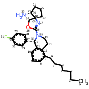 CCCCCCCc1cccc2c1CCN(C1=N[C@]3(CCC[C@H]3N)CO1)[C@H]2c1ccc(F)cc1